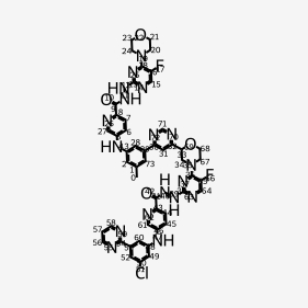 Cc1cc(Nc2ccc(C(=O)NNc3ncc(F)c(N4CCOCC4)n3)nc2)cc(-c2cc(C3CN(c4nc(NNC(=O)c5ccc(Nc6cc(Cl)cc(-c7ncccn7)c6)cn5)ncc4F)CCO3)ncn2)c1